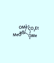 CCOC(C)=O.CO[SiH](OC)OC